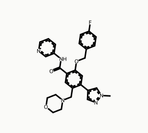 Cn1cc(-c2cc(OCc3ccc(F)cc3)c(C(=O)Nc3cccnc3)cc2CN2CCOCC2)cn1